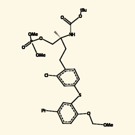 COCOc1ccc(C(C)C)cc1Sc1ccc(CC[C@@](C)(COP(=O)(OC)OC)NC(=O)OC(C)(C)C)c(Cl)c1